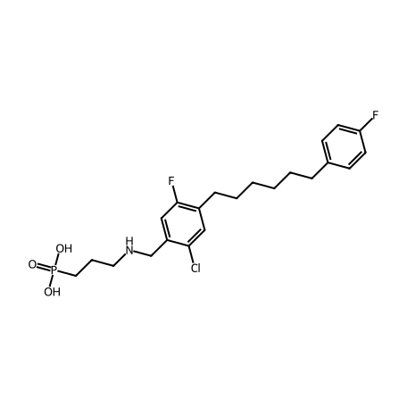 O=P(O)(O)CCCNCc1cc(F)c(CCCCCCc2ccc(F)cc2)cc1Cl